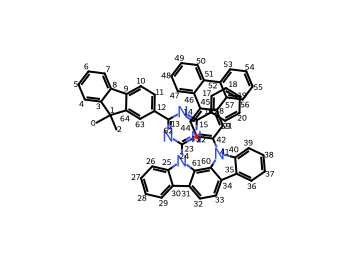 CC1(C)c2ccccc2-c2ccc(-c3nc(-c4ccccc4)nc(-n4c5ccccc5c5ccc6c7ccccc7n(-c7ccc8c9ccccc9c9ccccc9c8c7)c6c54)n3)cc21